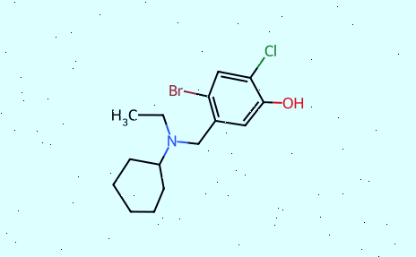 CCN(Cc1cc(O)c(Cl)cc1Br)C1CCCCC1